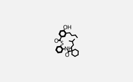 CCCCc1cc(C(=O)Sc2ccccc2NC(=O)C2(CCC(C)C)CCCCC2)ccc1O